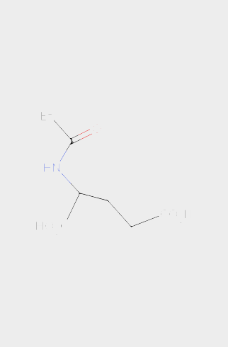 [CH2]CC(=O)NC(CCC(=O)O)C(=O)O